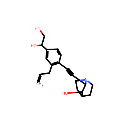 C=CCc1cc(C(O)CO)ccc1C#CC1C(O)C2CCN1CC2